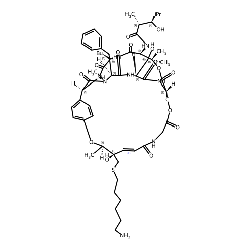 CC[C@H](C)[C@H]1NC(=O)[C@@H](NC(=O)[C@H](C)[C@H](O)C(C)C)[C@@H](C)OC(=O)[C@@H]2COC(=O)CNC(=O)/C=C/[C@](O)(CSCCCCCCN)[C@@H](C)Oc3ccc(cc3)[C@H](NC1=O)C(=O)N(C)[C@@H](Cc1ccccc1)C(=O)N[C@H]([C@@H](C)O)C(=O)N2